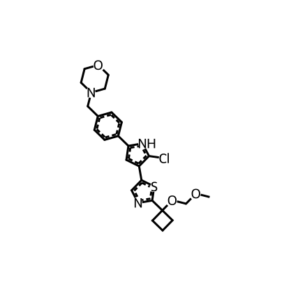 COCOC1(c2ncc(-c3cc(-c4ccc(CN5CCOCC5)cc4)[nH]c3Cl)s2)CCC1